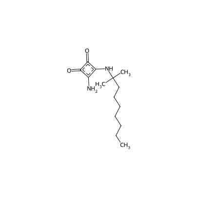 CCCCCCCC(C)(C)Nc1c(N)c(=O)c1=O